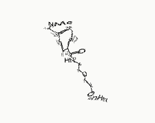 CCCCCCOCCOCCNC(=O)c1ccc(CNC)cc1